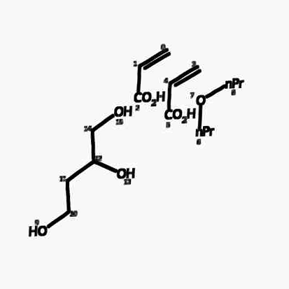 C=CC(=O)O.C=CC(=O)O.CCCOCCC.OCCC(O)CO